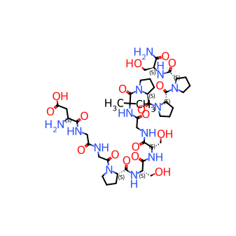 CC(C)(NC(=O)CNC(=O)[C@H](CO)NC(=O)[C@H](CO)NC(=O)[C@@H]1CCCN1C(=O)CNC(=O)CNC(=O)[C@@H](N)CC(=O)O)C(=O)N1CCC[C@H]1C(=O)N1CCC[C@H]1C(=O)N1CCC[C@H]1C(=O)N[C@@H](CO)C(N)=O